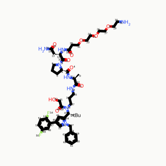 C[C@H](NC(=O)[C@@H]1CCCN1C(=O)[C@H](CC(N)=O)NC(=O)CCOCCOCCOCCN)C(=O)NCCCN(C(=O)CO)[C@@H](c1cc(-c2cc(F)ccc2F)cn1Cc1ccccc1)C(C)(C)C